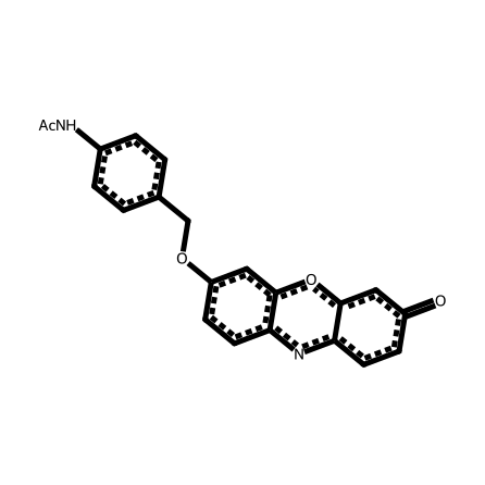 CC(=O)Nc1ccc(COc2ccc3nc4ccc(=O)cc-4oc3c2)cc1